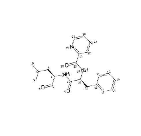 CC(C)C[C@H](C=O)NC(=O)[C@H](Cc1ccccc1)NC(=O)c1cnccn1